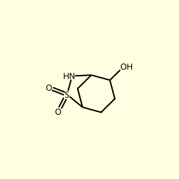 O=S1(=O)NC2CC1CCC2O